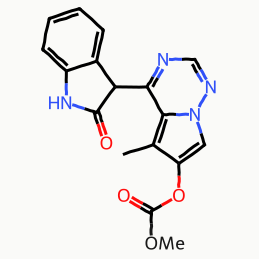 COC(=O)Oc1cn2ncnc(C3C(=O)Nc4ccccc43)c2c1C